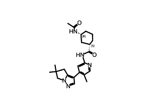 CC(=O)N[C@@H]1CCC[C@H](C(=O)Nc2cc(-c3cnn4c3CC(C)(C)C4)c(C)cn2)C1